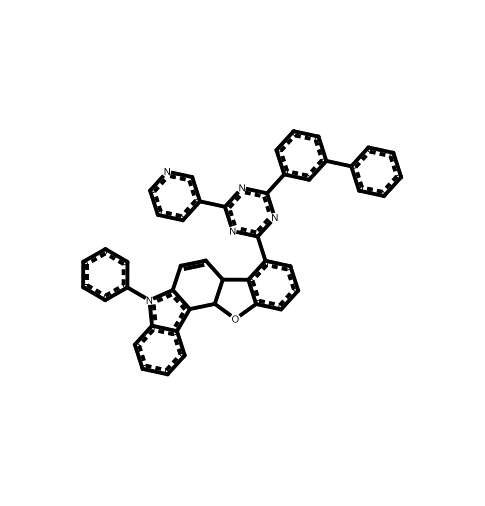 C1=CC2c3c(cccc3-c3nc(-c4cccnc4)nc(-c4cccc(-c5ccccc5)c4)n3)OC2c2c1n(-c1ccccc1)c1ccccc21